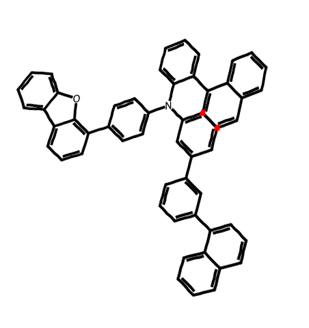 c1cc(-c2cccc(N(c3ccc(-c4cccc5c4oc4ccccc45)cc3)c3ccccc3-c3cccc4ccccc34)c2)cc(-c2cccc3ccccc23)c1